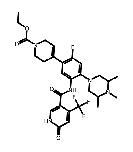 CCOC(=O)N1CC=C(c2cc(NC(=O)c3c[nH]c(=O)cc3C(F)(F)F)c(N3CC(C)N(C)C(C)C3)cc2F)CC1